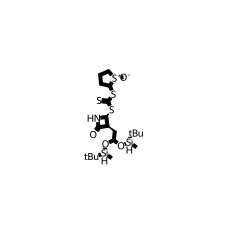 C[SiH](OC(C[C@H]1C(=O)N[C@@H]1SC(=S)SC1CCC[S+]1[O-])O[SiH](C)C(C)(C)C)C(C)(C)C